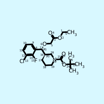 CCOC(=O)CO[C@@H](c1cccc(Cl)c1F)[C@@H]1CCCN(C(=O)OC(C)(C)C)C1